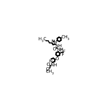 CCCCc1cc(NC(=O)Nc2ccc(Oc3ccnc(NC(=O)COC)c3)cc2C(F)(F)F)n(-c2ccc(C)cc2)n1